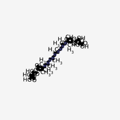 CC1=C(/C=C/C(C)=C/C=C/C(C)=C/C=C/C=C(C)/C=C/C=C(C)/C=C/C2=C(C)C(=O)C(OC(=O)C(O)C3OC(=O)C(O)=C3O)CC2(C)C)C(C)(C)CC(OC(=O)C(O)C2OC(=O)C(O)=C2O)C1=O